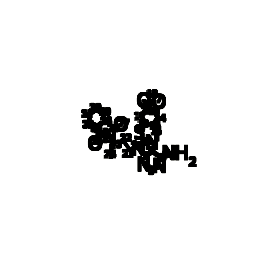 Nc1ncnc2c1nc(Sc1cc3c(cc1I)OCO3)n2CCC(I)N1C(=O)c2ccccc2C1=O